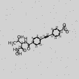 CC(O)C(NC(=O)c1ccc(C#Cc2ccc([N+](=O)[O-])cc2)cc1)C(=O)NO